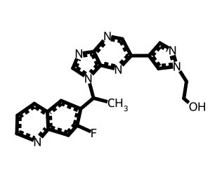 CC(c1cc2cccnc2cc1F)n1cnc2ncc(-c3cnn(CCO)c3)nc21